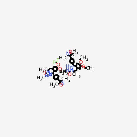 CCOc1cc2c(cc1OCC)C(c1ccc(-c3c(C)noc3C)cc1)=NN(C(=O)NC)C(C)C2.CNC(=O)N1N=C(c2ccc(-c3c(C)noc3C)cc2)c2cc(OC)c(OC(F)F)cc2CC1C